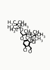 CC(C)(C)[SiH2]OC(C)(C)C(CO[Si](C)(C)C(C)(C)C)Oc1cc(Cl)c(C=O)c(Cl)c1